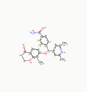 Cc1cc(C(Oc2c(F)cc3c(c2C)OCCC3=O)c2ccc(C(N)=O)cc2)cc(C)n1